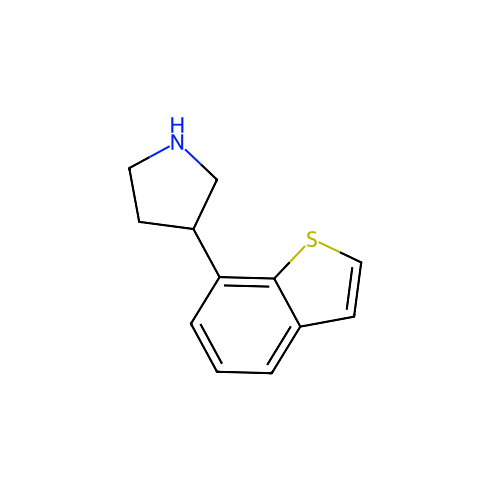 c1cc(C2CCNC2)c2sccc2c1